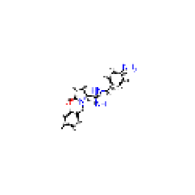 Cc1ccc(CN2C(=O)CCC2C(=N)NCc2ccc(N)cc2)cc1